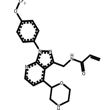 C=CC(=O)NCc1nn(-c2ccc(OC(F)(F)F)cc2)c2nccc(C3CNCCO3)c12